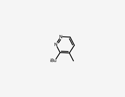 CCC(C)c1nnccc1C